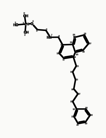 O[PH](O)(O)OCCNCc1ccc(CCCCCCc2ccccc2)c2cccnc12